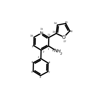 Nc1c(-c2ccccc2)ccnc1-c1ccco1